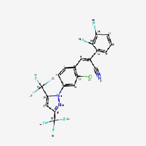 N#CC(=Cc1ccc(-n2nc(C(F)(F)F)cc2C(F)(F)F)cc1Cl)c1cccc(F)c1F